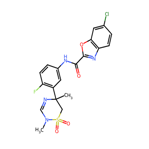 CN1C=NC(C)(c2cc(NC(=O)c3nc4ccc(Cl)cc4o3)ccc2F)CS1(=O)=O